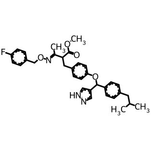 COC(=O)C(Cc1ccc(OC(c2ccc(CC(C)C)cc2)c2cn[nH]c2)cc1)C(C)=NOCc1ccc(F)cc1